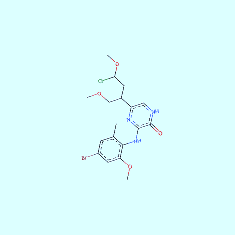 COCC(CC(Cl)OC)c1c[nH]c(=O)c(Nc2c(C)cc(Br)cc2OC)n1